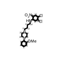 COc1ccccc1N1CCN(CCCCNc2cc(Cl)c(Cl)cc2[N+](=O)[O-])CC1